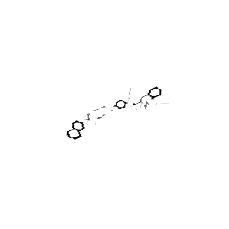 O=C(Nc1ccc(N2CCN(S(=O)(=O)c3ccc4ccccc4c3)CC2)cc1)/C(Cc1ccccc1)=N/O